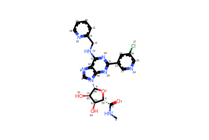 CNC(=O)[C@H]1O[C@@H](n2cnc3c(NCc4ccccn4)nc(-c4cncc(Cl)c4)nc32)[C@H](O)[C@@H]1O